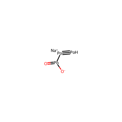 [Na+].[O]=[Po]([O-])[Po]#[PoH]